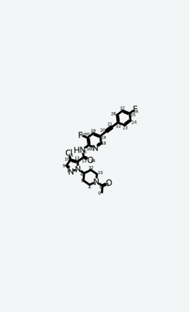 CC(=O)N1CCC(n2ncc(Cl)c2C(=O)Nc2ncc(C#Cc3ccc(F)cc3)cc2F)CC1